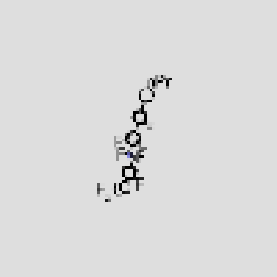 CCCC1CCC(c2ccc(-c3cc(F)c(/C(F)=C(\F)c4ccc(OC(F)(F)F)c(F)c4)c(F)c3)c(F)c2)CC1